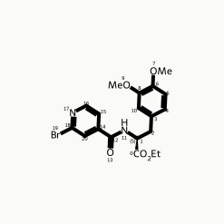 CCOC(=O)[C@H](Cc1ccc(OC)c(OC)c1)NC(=O)c1ccnc(Br)c1